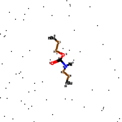 CCCCSSOC(=O)[N]([Ni])SSCCCC